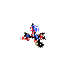 CCNC(=O)NOCC(=O)N[C@@H](CCCCN(C(=O)O)C(C)(C)C)C(=O)N(Cc1csc2ccccc12)[C@@H](C)C(OCC)OCC